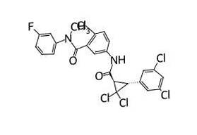 CN(C(=O)c1cc(NC(=O)[C@H]2[C@H](c3cc(Cl)cc(Cl)c3)C2(Cl)Cl)ccc1Cl)c1cccc(F)c1